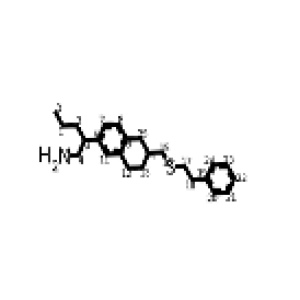 CCCC(CN)c1ccc2c(c1)CCC(CSCCc1ccccc1)C2